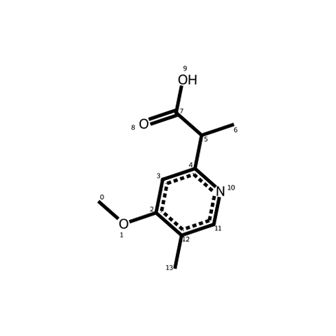 COc1cc(C(C)C(=O)O)ncc1C